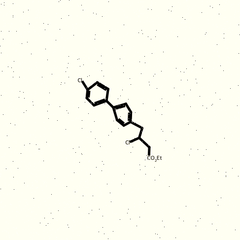 CCOC(=O)CC(Cl)Cc1ccc(-c2ccc(Cl)cc2)cc1